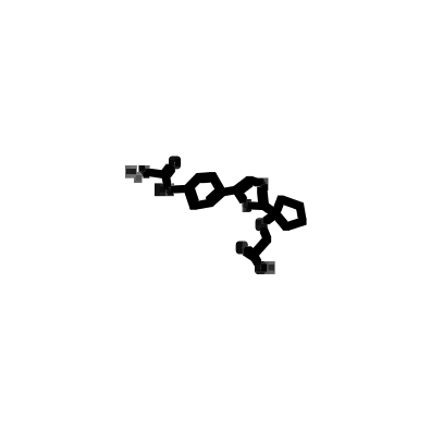 NC(=O)Nc1ccc(-c2cnc(C3(OCC(=O)O)CCCC3)s2)cc1